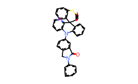 O=C1c2cc(N3c4ccccc4C4(c5ccccc5Sc5ccccc54)c4ncccc43)ccc2CN1c1ccccc1